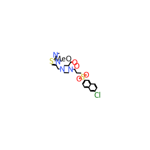 CN=c1scc(CN2CCN(C(=O)CCS(=O)(=O)c3ccc4cc(Cl)ccc4c3)C(C(=O)OC)C2)n1C